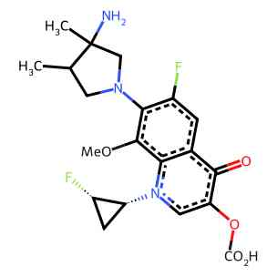 COc1c(N2CC(C)C(C)(N)C2)c(F)cc2c(=O)c(OC(=O)O)cn([C@@H]3C[C@@H]3F)c12